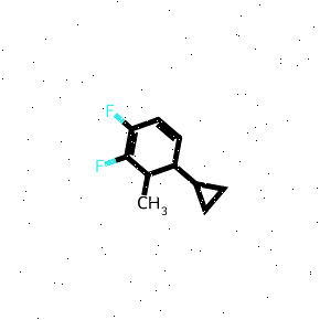 CC1C(F)=C(F)C=CC1C1CC1